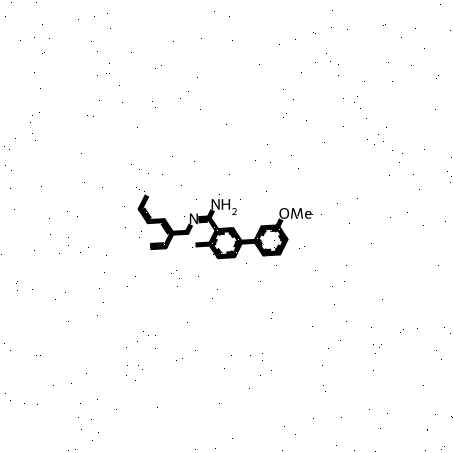 C=C/C(=C\C=C/C)C/N=C(/N)c1cc(-c2cccc(OC)c2)ccc1C